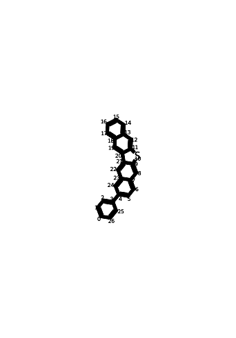 c1ccc(-c2ccc3cc4sc5cc6ccccc6cc5c4cc3c2)cc1